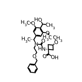 COc1cc([C@@H](C)N(CCOCc2ccccc2)C(=O)N[C@]2(C(=O)O)C[C@@H](OC)C2)cc(OC)c1C(C)O